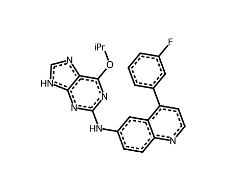 CC(C)Oc1nc(Nc2ccc3nccc(-c4cccc(F)c4)c3c2)nc2[nH]cnc12